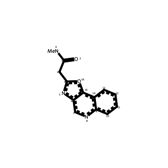 CNC(=O)Cc1nc2cnc3ccccc3c2o1